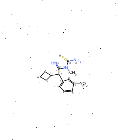 CN(C(=N)C(c1cccc([N+](=O)[O-])c1)C1CCC1)C(N)=S